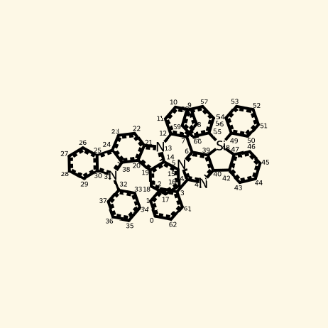 c1ccc(-c2nc(-c3ccccc3-n3c4ccccc4c4c3ccc3c5ccccc5n(-c5ccccc5)c34)c3c(n2)-c2ccccc2[Si]3(c2ccccc2)c2ccccc2)cc1